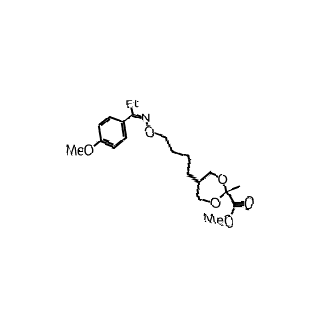 CCC(=NOCCCCC1COC(C)(C(=O)OC)OC1)c1ccc(OC)cc1